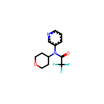 O=C(N(c1[c]ccnc1)C1CCOCC1)C(F)(F)F